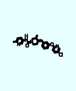 Cc1ccc(NC(=O)N2CC/C(=C\c3cccc(Oc4ccc(Cl)cn4)c3)C(C)C2)cn1